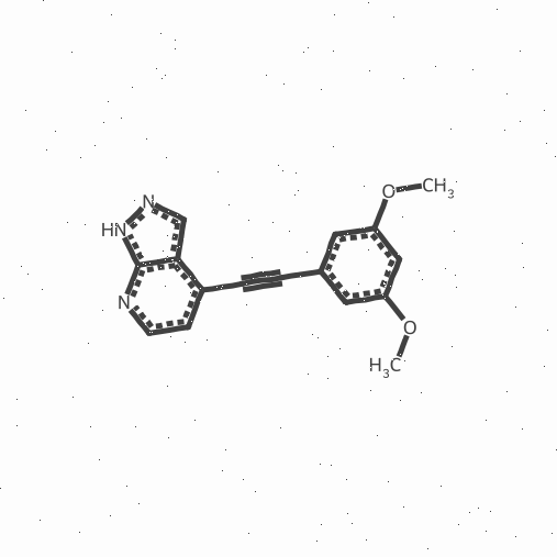 COc1cc(C#Cc2ccnc3[nH]ncc23)cc(OC)c1